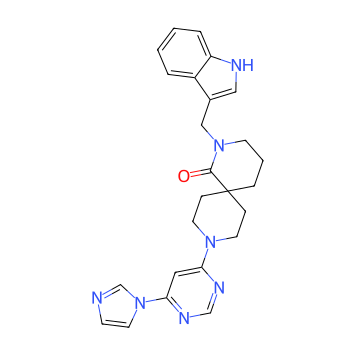 O=C1N(Cc2c[nH]c3ccccc23)CCCC12CCN(c1cc(-n3ccnc3)ncn1)CC2